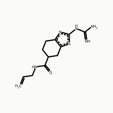 C=CCNC(=O)C1CCc2nc(NC(=N)N)sc2C1